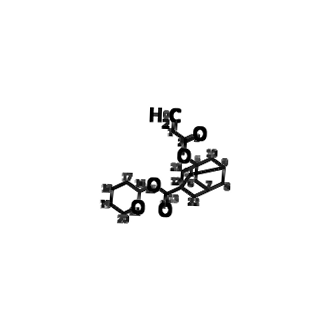 C=CC(=O)OC12CC3CC(C1)CC(C(=O)OC1CCCCO1)(C3)C2